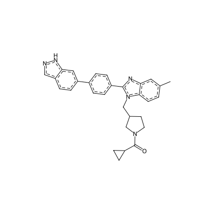 Cc1ccc2c(c1)nc(-c1ccc(-c3ccc4cn[nH]c4c3)cc1)n2CC1CCN(C(=O)C2CC2)C1